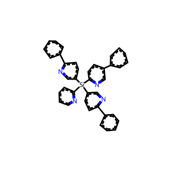 c1ccc(-c2ccc([Si](c3ccc(-c4ccccc4)nc3)(c3ccc(-c4ccccc4)nc3)c3ccccn3)nc2)cc1